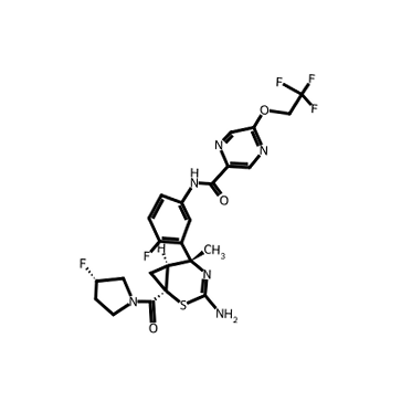 C[C@@]1(c2cc(NC(=O)c3cnc(OCC(F)(F)F)cn3)ccc2F)N=C(N)S[C@@]2(C(=O)N3CC[C@H](F)C3)C[C@@H]12